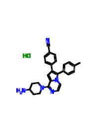 Cc1ccc(-c2c(-c3ccc(C#N)cc3)cc3c(N4CCC(N)CC4)nccn23)cc1.Cl